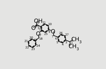 CC(C)c1ccc(COc2ccc(C(=O)O)c(OCc3ccccc3)c2)cc1